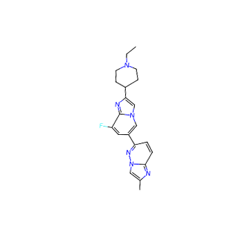 CCN1CCC(c2cn3cc(-c4ccc5nc(C)cn5n4)cc(F)c3n2)CC1